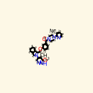 Cc1c(N2Cc3ccccc3C2COc2cccc(C(=O)N3CCN(c4ncccc4C#N)CC3)c2)cn[nH]c1=O